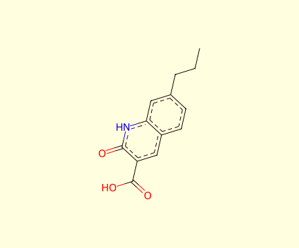 CCCc1ccc2cc(C(=O)O)c(=O)[nH]c2c1